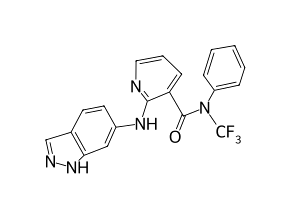 O=C(c1cccnc1Nc1ccc2cn[nH]c2c1)N(c1ccccc1)C(F)(F)F